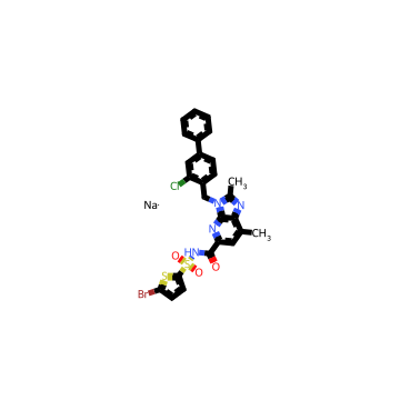 Cc1cc(C(=O)NS(=O)(=O)c2ccc(Br)s2)nc2c1nc(C)n2Cc1ccc(-c2ccccc2)cc1Cl.[Na]